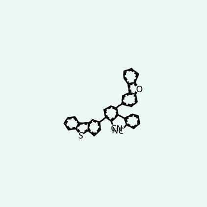 N#Cc1ccccc1-c1c(-c2ccc3oc4ccccc4c3c2)ccc(-c2ccc3sc4ccccc4c3c2)c1C#N